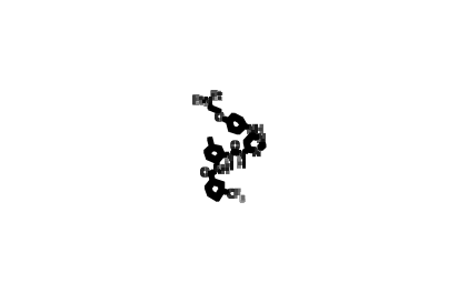 CCN(CC)CCOc1ccc(Nc2cc(NC(=O)Nc3cc(C)ccc3NC(=O)c3cccc(C(F)(F)F)c3)ncn2)cc1